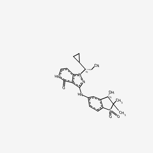 CC1(C)[C@@H](O)c2cc(Nc3nn([C@@H](CC#N)C4CC4)c4cc[nH]c(=O)c34)ccc2S1(=O)=O